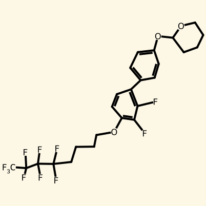 Fc1c(OCCCCC(F)(F)C(F)(F)C(F)(F)C(F)(F)F)ccc(-c2ccc(OC3CCCCO3)cc2)c1F